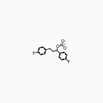 O=[N+]([O-])O[C](CCc1ccc(F)cc1)c1ccc(F)cc1